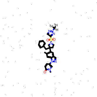 [2H]C([2H])([2H])n1ncc(S(=O)(=O)N2CCC(Cc3ccccc3)(c3cc4cnn(-c5ccc(=O)n(C)c5)c4cc3C)C2)n1